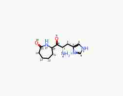 N[C@@H](Cc1c[nH]cn1)C(=O)C1CCCCC(=O)N1